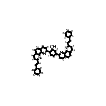 Cc1cc(-c2ccc3ccc4ccc(/C=C/c5ccccc5)nc4c3n2)ccc1-c1ccc2ccc3ccc(/C=C/c4ccccc4)nc3c2n1